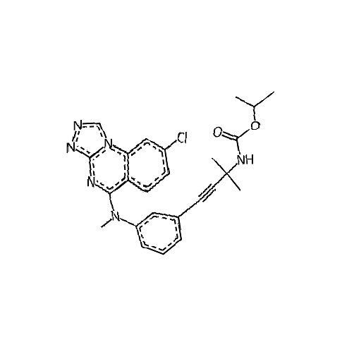 CC(C)OC(=O)NC(C)(C)C#Cc1cccc(N(C)c2nc3nncn3c3cc(Cl)ccc23)c1